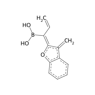 C=C/C(B(O)O)=c1/oc2ccccc2c1=C